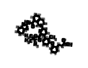 Cc1c(Oc2ccccc2CCC(=O)O)cccc1-c1ccc(N2CCc3cccc(C(=O)Nc4nc5ccccc5s4)c3C2)nc1C(=O)OC(C)(C)C